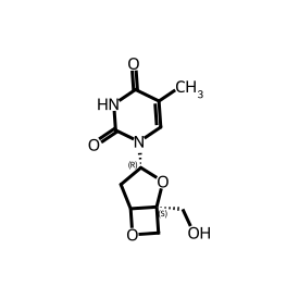 Cc1cn([C@H]2CC3OC[C@]3(CO)O2)c(=O)[nH]c1=O